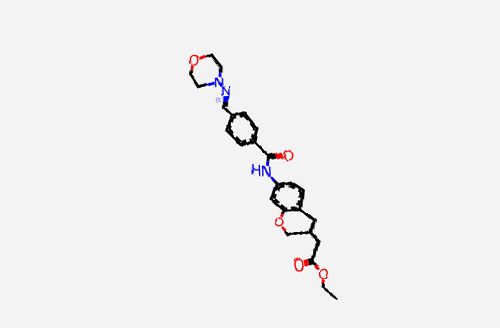 CCOC(=O)CC1COc2cc(NC(=O)c3ccc(/C=N/N4CCOCC4)cc3)ccc2C1